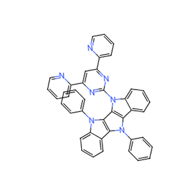 c1ccc(-n2c3ccccc3c3c2c2c(c4ccccc4n2-c2nc(-c4ccccn4)cc(-c4ccccn4)n2)n3-c2ccccc2)cc1